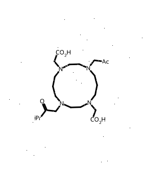 CC(=O)CN1CCCN(CC(=O)O)CCN(CC(=O)C(C)C)CCCN(CC(=O)O)CC1